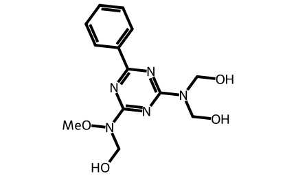 CON(CO)c1nc(-c2ccccc2)nc(N(CO)CO)n1